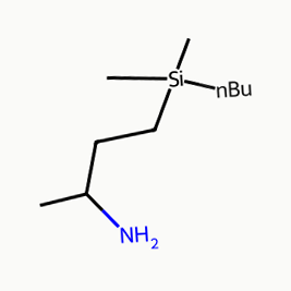 CCCC[Si](C)(C)CCC(C)N